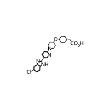 O=C(O)C[C@H]1CC[C@H](OC2CCN(c3ccc(-c4nc5cc(Cl)ccc5[nH]4)cn3)CC2)CC1